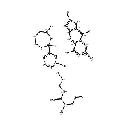 CCC1(c2cccc(O)c2)CCCCN(C)C1.Cc1cc2cc3c(C)cc(=O)oc3c(C)c2o1.O=NN(CCCl)C(=O)NCCCl